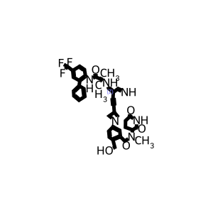 CN(C(=O)c1cc(N2CC(C#C/C(C=N)=C/NC(C)(C)C(=O)Nc3ccc(C(F)(F)F)cc3-c3ccccc3)C2)ccc1CO)C1CCC(=O)NC1=O